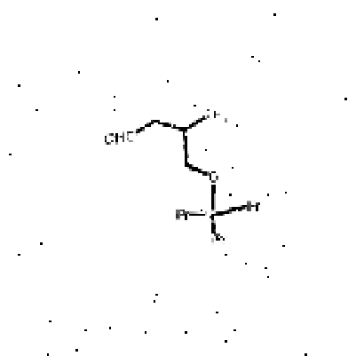 CC(CC=O)CO[Si](C(C)C)(C(C)C)C(C)C